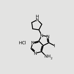 Cl.Nc1ncnc2c1c(I)nn2C1CCNC1